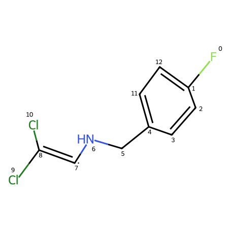 Fc1ccc(CN[C]=C(Cl)Cl)cc1